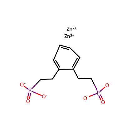 O=P([O-])([O-])CCc1ccccc1CCP(=O)([O-])[O-].[Zn+2].[Zn+2]